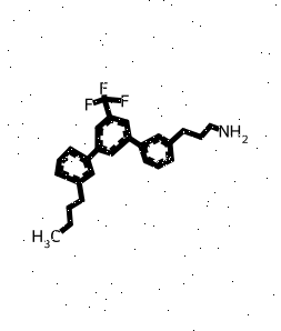 CCCCc1cccc(-c2cc(-c3cccc(CCCN)c3)cc(C(F)(F)F)c2)c1